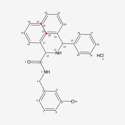 Cl.O=C(NCc1cccc(Cl)c1)C(NC(c1ccccc1)c1ccccc1)c1ccccc1